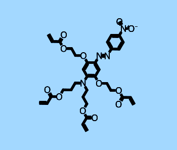 C=CC(=O)OCCCN(CCCOC(=O)C=C)c1cc(OCCOC(=O)C=C)c(/N=N/c2ccc([N+](=O)[O-])cc2)cc1OCCOC(=O)C=C